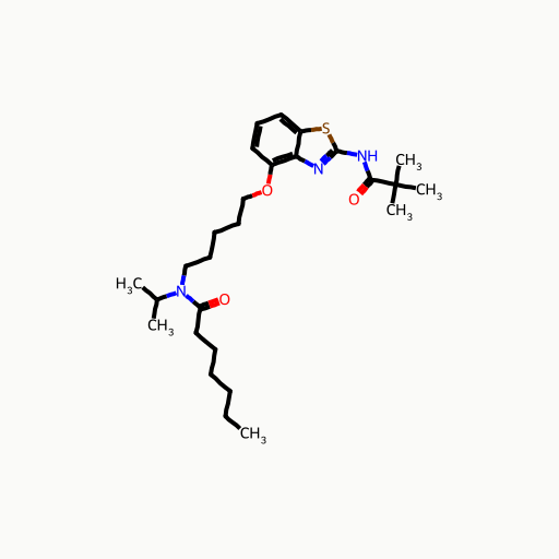 CCCCCCC(=O)N(CCCCCOc1cccc2sc(NC(=O)C(C)(C)C)nc12)C(C)C